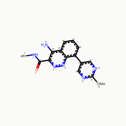 CCCNC(=O)c1nnc2c(-c3cnc(OC)nc3)cccc2c1N